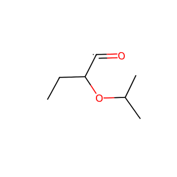 CCC([C]=O)OC(C)C